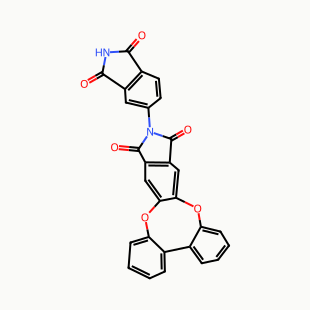 O=C1NC(=O)c2cc(N3C(=O)c4cc5oc6ccccc6c6ccccc6oc5cc4C3=O)ccc21